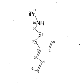 C=C/C(=C\C=C/C)SSCNC(C)C